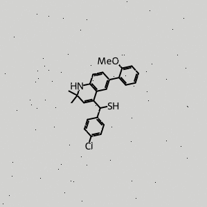 COc1ccccc1-c1ccc2c(c1)C(C(S)c1ccc(Cl)cc1)=CC(C)(C)N2